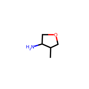 CC1COCC1N